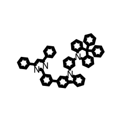 c1ccc(-c2cc(-c3ccccc3)nc(-c3cccc(-c4ccc5c6ccccc6n(-c6cccc(N7c8ccccc8C(c8ccccc8)(c8ccccc8)c8ccccc87)c6)c5c4)c3)n2)cc1